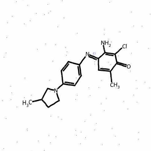 CC1=C/C(=N\c2ccc(N3CCC(C)C3)cc2)C(N)=C(Cl)C1=O